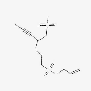 C=CCOS(=O)(=O)CCOC(C#CC)CS(=O)(=O)O